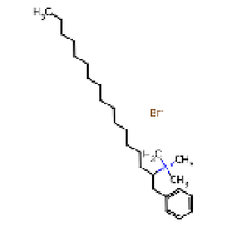 CCCCCCCCCCCCCCCC(Cc1ccccc1)[N+](C)(C)C.[Br-]